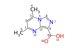 Cc1cc(C)n2cnc(C(=O)O)c2n1